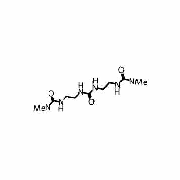 CNC(=O)NCCNC(=O)NCCNC(=O)NC